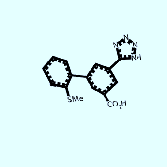 CSc1ccccc1-c1cc(C(=O)O)cc(-c2nnn[nH]2)c1